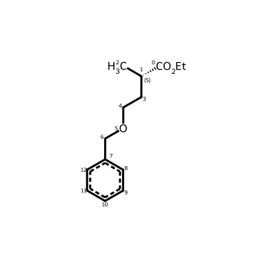 CCOC(=O)[C@@H](C)CCOCc1ccccc1